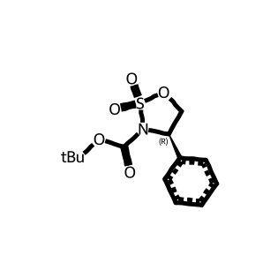 CC(C)(C)OC(=O)N1[C@H](c2ccccc2)COS1(=O)=O